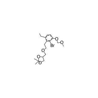 CCc1ccc(OCOC)c(Br)c1CCOCC1COC(C)(C)O1